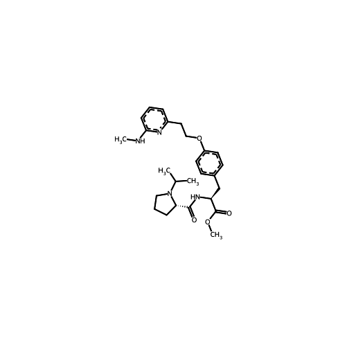 CNc1cccc(CCOc2ccc(C[C@H](NC(=O)[C@@H]3CCCN3C(C)C)C(=O)OC)cc2)n1